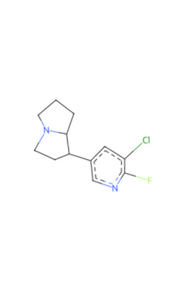 Fc1ncc(C2CCN3CCCC23)cc1Cl